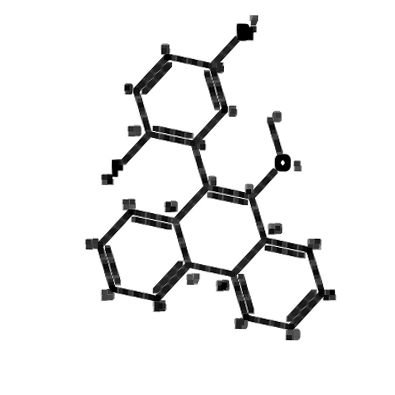 COc1c(-c2cc(Br)ccc2F)c2ccccc2c2ccccc12